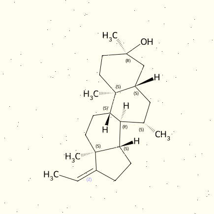 C/C=C1/CC[C@H]2[C@@H]3[C@@H](C)C[C@H]4C[C@](C)(O)CC[C@]4(C)[C@H]3CC[C@]12C